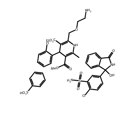 CCOC(=O)C1=C(COCCN)NC(C)=C(C(=O)OC)C1c1ccccc1Cl.NS(=O)(=O)c1cc(C2(O)NC(=O)c3ccccc32)ccc1Cl.O=S(=O)(O)c1ccccc1